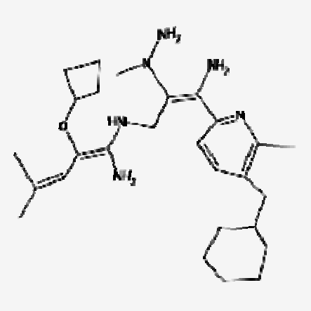 CC(C)=C/C(OC1CCC1)=C(\N)NC/C(=C(/N)c1ccc(CC2CCCCC2)c(C)n1)N(C)N